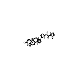 CN1C(=O)C=C[C@]2(C)[C@H]3CC[C@]4(C)[C@@H](c5csc(NC(=O)c6nccn6C)n5)CC[C@H]4[C@@H]3CC[C@@H]12